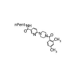 CCCCCNC(=O)c1ccc(N2CCN(C(=O)c3ccc(C)cc3C)CC2)nc1